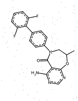 CC1CN(c2ccc(-c3c(F)cccc3F)cc2)C(=O)c2c(N)ncnc2O1